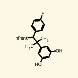 CCCCCC(c1ccc(F)cc1)C(C)(C)c1cc(O)cc(O)c1